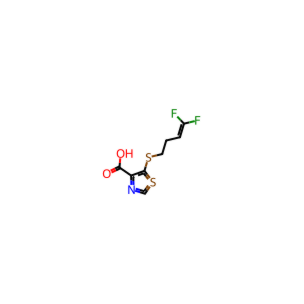 O=C(O)c1ncsc1SCCC=C(F)F